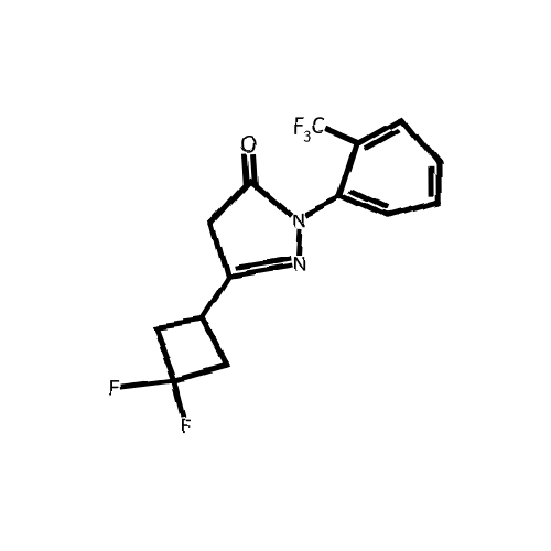 O=C1CC(C2CC(F)(F)C2)=NN1c1ccccc1C(F)(F)F